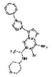 CC(NC1CCOCC1)c1nc2c(-c3cnn(-c4ccccc4)c3)cnn2c(N)c1Br